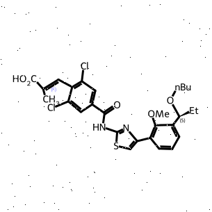 CCCCO[C@@H](CC)c1cccc(-c2csc(NC(=O)c3cc(Cl)c(/C=C(\C)C(=O)O)c(Cl)c3)n2)c1OC